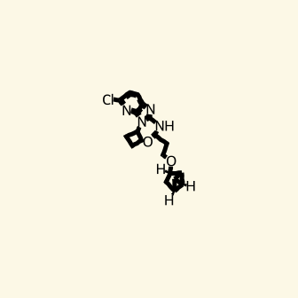 O=C(CCO[C@H]1C[C@@H]2C3C1[C@@H]32)Nc1nc2ccc(Cl)nc2n1C1CCC1